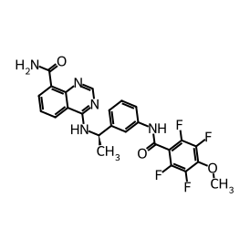 COc1c(F)c(F)c(C(=O)Nc2cccc([C@@H](C)Nc3ncnc4c(C(N)=O)cccc34)c2)c(F)c1F